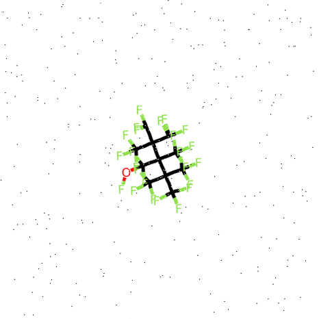 FOC(F)(F)C(C(F)(F)F)(C(C(F)(F)F)(C(F)(F)F)C(F)(F)F)C(C(F)(F)F)(C(F)(F)F)C(F)(F)F